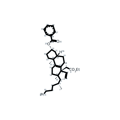 CCOC(=O)C[C@@]12C=C[C@H]([C@H](C)CCCC(C)C)[C@@]1(C)CCC1=C2CC[C@H]2C[C@@H](OC(=O)c3ccccc3)CC[C@]12C